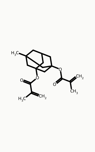 C=C(C)C(=O)OC12CC3CC(C)(C1)CC(OC(=O)C(=C)C)(C3)C2